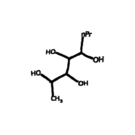 CCCC(O)C(O)C(O)[C](C)O